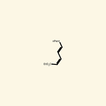 CCCCC/C=C/C=C\C(=O)OCC